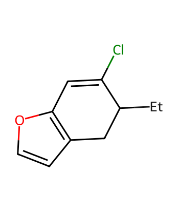 CCC1Cc2ccoc2C=C1Cl